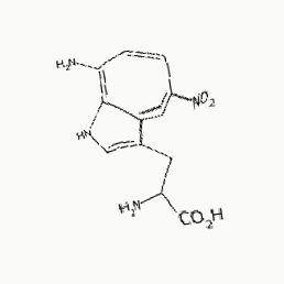 Nc1ccc([N+](=O)[O-])c2c(CC(N)C(=O)O)c[nH]c12